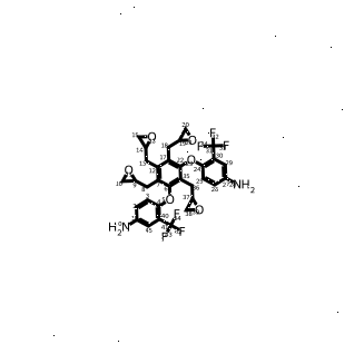 Nc1ccc(Oc2c(CC3CO3)c(CC3CO3)c(CC3CO3)c(Oc3ccc(N)cc3C(F)(F)F)c2CC2CO2)c(C(F)(F)F)c1